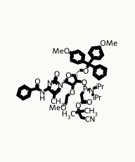 COCCOC1C(OP(CC(=O)OC(C)(C)CC#N)N(C(C)C)C(C)C)[C@@H](COC(c2ccccc2)(c2ccc(OC)cc2)c2ccc(OC)cc2)O[C@H]1n1cc(C)c(NC(=O)c2ccccc2)nc1=O